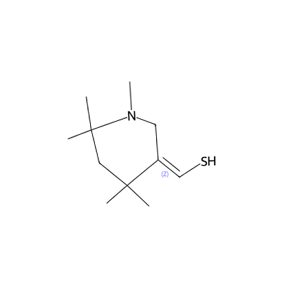 CN1C/C(=C\S)C(C)(C)CC1(C)C